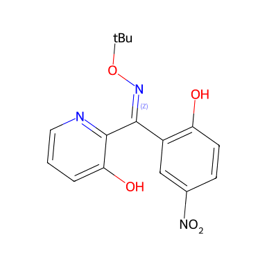 CC(C)(C)O/N=C(/c1cc([N+](=O)[O-])ccc1O)c1ncccc1O